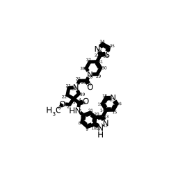 COCC1(C(=O)Nc2ccc3[nH]nc(-c4ccncc4)c3c2)CCN(CC(=O)N2CC=C(c3nccs3)CC2)C1